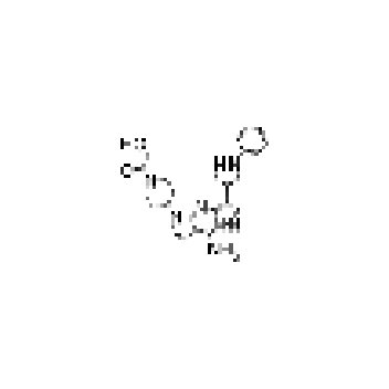 Cc1cn(C2CCN(C(=O)CO)CC2)c2nc3c(-c4cnn(-c5ccccc5)c4)cnn3c(N)c12